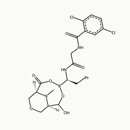 CC(C)C[C@H](NC(=O)CNC(=O)c1cc(Cl)ccc1Cl)B1OC(=O)[C@@H]2COC[C@H](C(O)O1)N2C